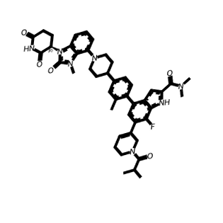 Cc1cc(C2CCN(c3cccc4c3n(C)c(=O)n4[C@@H]3CCC(=O)NC3=O)CC2)ccc1-c1cc(C2=CCCN(C(=O)C(C)C)C2)c(F)c2[nH]c(C(=O)N(C)C)cc12